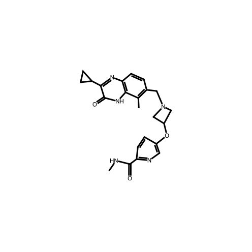 CNC(=O)c1ccc(OC2CN(Cc3ccc4nc(C5CC5)c(=O)[nH]c4c3C)C2)cn1